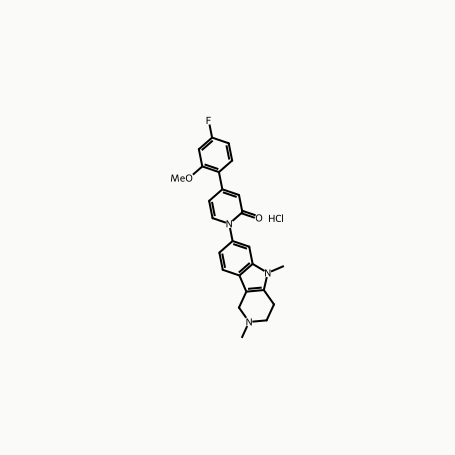 COc1cc(F)ccc1-c1ccn(-c2ccc3c4c(n(C)c3c2)CCN(C)C4)c(=O)c1.Cl